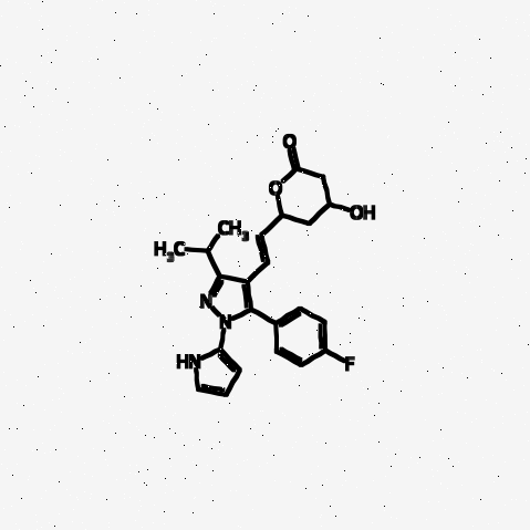 CC(C)c1nn(-c2ccc[nH]2)c(-c2ccc(F)cc2)c1C=CC1CC(O)CC(=O)O1